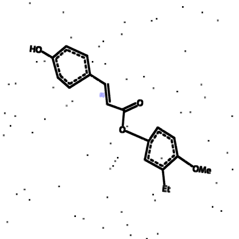 CCc1cc(OC(=O)/C=C/c2ccc(O)cc2)ccc1OC